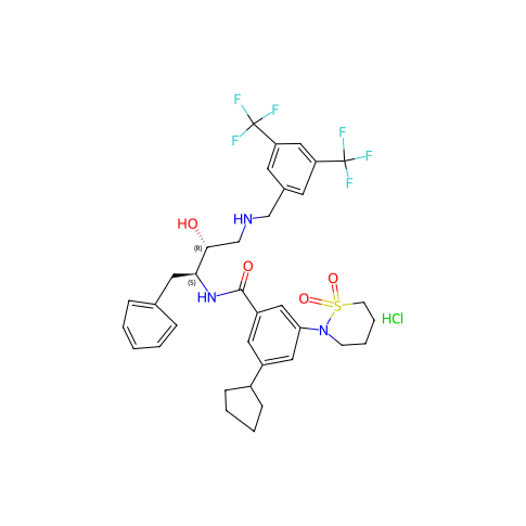 Cl.O=C(N[C@@H](Cc1ccccc1)[C@H](O)CNCc1cc(C(F)(F)F)cc(C(F)(F)F)c1)c1cc(C2CCCC2)cc(N2CCCCS2(=O)=O)c1